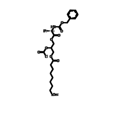 CCCCCCCCCCCCCCCCCC(=O)OCC(COC(=O)[C@@H](NC(=O)OCc1ccccc1)C(C)C)OC(=O)Cl